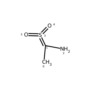 CC(N)=S(=O)=O